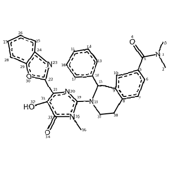 CN(C)C(=O)c1ccc2c(c1)C(c1ccccc1)N(c1nc(-c3nc4ccccc4o3)c(O)c(=O)n1C)CC2